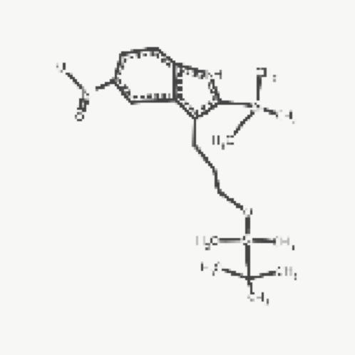 CC(C)(C)[Si](C)(C)OCCCc1c([Si](C)(C)C)[nH]c2ccc([N+](=O)[O-])cc12